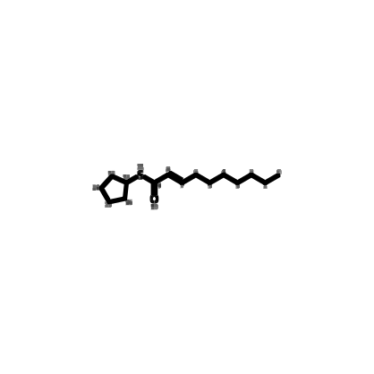 CCCCCCCC=CC(=O)SC1CCCC1